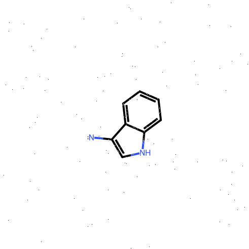 [N]c1c[nH]c2ccccc12